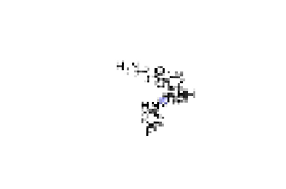 Cl.NCCCC(=O)Oc1cccc2[nH]cc(/C=N/Nc3ccc(F)cc3)c12